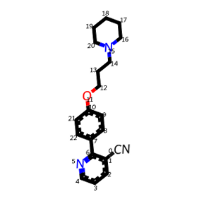 N#Cc1cccnc1-c1ccc(OCCCN2CCCCC2)cc1